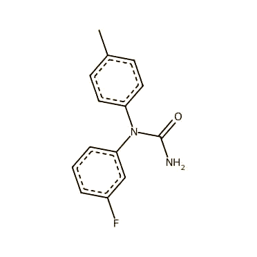 Cc1ccc(N(C(N)=O)c2cccc(F)c2)cc1